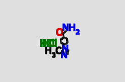 Cc1nccn1-c1ccc(C(=O)CN)cc1.Cl.Cl